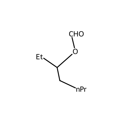 CCCCC(CC)OC=O